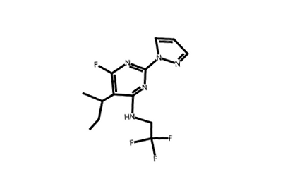 CCC(C)c1c(F)nc(-n2cccn2)nc1NCC(F)(F)F